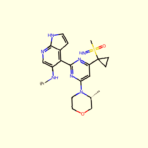 CC(C)Nc1cnc2[nH]ccc2c1-c1nc(N2CCOC[C@H]2C)cc(C2(S(C)(=N)=O)CC2)n1